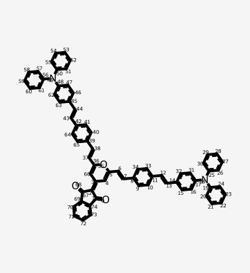 O=C1C(=C2C=C(C=Cc3ccc(C=Cc4ccc(N(c5ccccc5)c5ccccc5)cc4)cc3)OC(C=Cc3ccc(C=Cc4ccc(N(c5ccccc5)c5ccccc5)cc4)cc3)=C2)C(=O)c2ccccc21